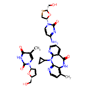 Cc1ccnc2c1NC(=O)c1cccnc1N2C1CC1.Cc1cn([C@H]2C=C[C@@H](CO)O2)c(=O)[nH]c1=O.Nc1ccn([C@@H]2CS[C@H](CO)O2)c(=O)n1